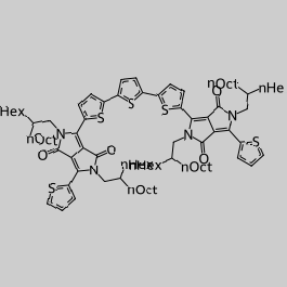 CCCCCCCCC(CCCCCC)CN1C(=O)C2=C(c3ccc(-c4ccc(-c5ccc(C6=C7C(=O)N(CC(CCCCCC)CCCCCCCC)C(c8cccs8)=C7C(=O)N6CC(CCCCCC)CCCCCCCC)s5)s4)s3)N(CC(CCCCCC)CCCCCCCC)C(=O)C2=C1c1cccs1